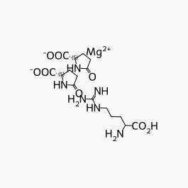 N=C(N)NCCCC(N)C(=O)O.O=C1CC[C@@H](C(=O)[O-])N1.O=C1CC[C@@H](C(=O)[O-])N1.[Mg+2]